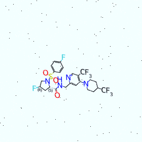 O=C(NCc1cc(N2CCC(C(F)(F)F)CC2)c(C(F)(F)F)cn1)[C@@H]1C[C@@H](F)CN1S(=O)(=O)c1ccc(F)cc1